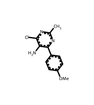 COc1ccc(-c2nc(C)nc(Cl)c2N)cc1